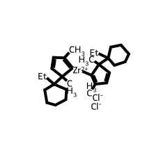 CCC1(C2(C)C=CC(C)=[C]2[Zr+2][C]2=C(C)C=CC2(C)C2(CC)CCCCC2)CCCCC1.[Cl-].[Cl-]